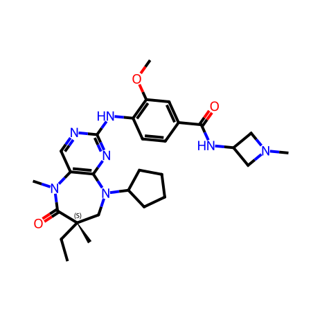 CC[C@@]1(C)CN(C2CCCC2)c2nc(Nc3ccc(C(=O)NC4CN(C)C4)cc3OC)ncc2N(C)C1=O